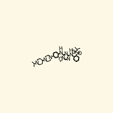 COc1cc(N2CCN(C3CCN(C(C)C)CC3)CC2)ccc1Nc1ncnc(Nc2ccccc2S(=O)(=O)C(C)C)n1